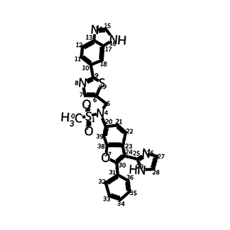 CS(=O)(=O)N(Cc1cnc(-c2ccc3nc[nH]c3c2)s1)c1ccc2c(-c3ncc[nH]3)c(-c3ccccc3)oc2c1